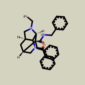 CC(C)CN1C[C@@H]2C[C@H]3CN(C(=O)c4ccccc4)[C@]2(C(=O)NCc2ccccc2)[C@@H]1[C@@H]3Cc1ccccc1